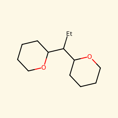 CCC(C1CCCCO1)C1CCCCO1